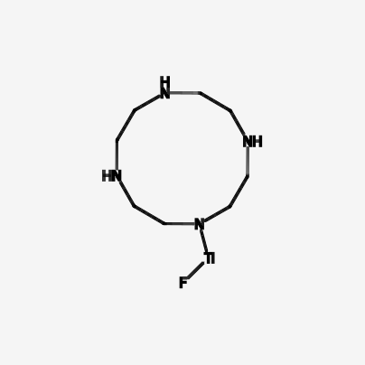 [F][Ti][N]1CCNCCNCCNCC1